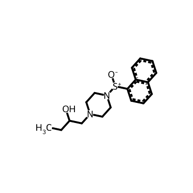 CCC(O)CN1CCN([S+]([O-])c2cccc3ccccc23)CC1